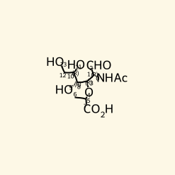 CC(=O)N[C@@H](C=O)[C@@H](OC(C)C(=O)O)[C@H](O)[C@H](O)CO